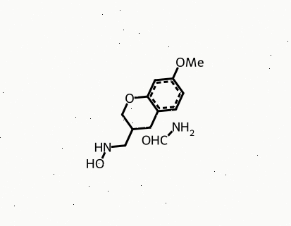 COc1ccc2c(c1)OCC(CNO)C2.NC=O